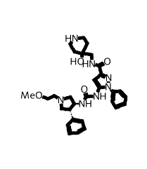 COCCN1C[C@@H](NC(=O)Nc2cc(C(=O)NCC3(O)CCNCC3)nn2-c2ccccc2)[C@H](c2ccccc2)C1